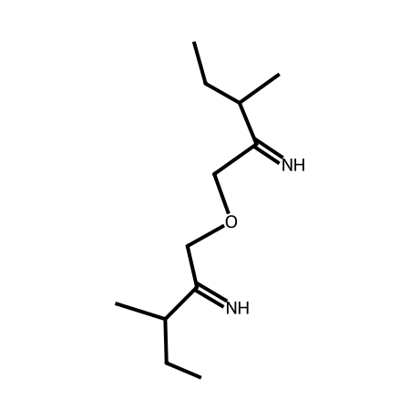 CCC(C)C(=N)COCC(=N)C(C)CC